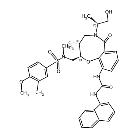 COc1ccc(S(=O)(=O)N(C)C[C@@H]2Oc3c(NC(=O)Nc4cccc5ccccc45)cccc3C(=O)N([C@@H](C)CO)C[C@H]2C)cc1C